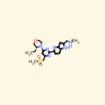 CC[C@H]1COCCN1c1cc(CS(C)(=O)=O)nc(-c2ccc3[nH]c(CNC)cc3n2)n1